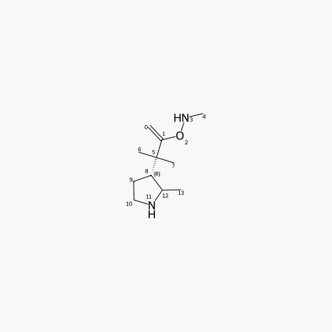 C=C(ONC)C(C)(C)[C@H]1CCNC1C